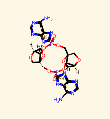 Nc1ncnc2c1ncn2[C@@H]1O[C@@]23CO[C@@H]1[C@@H]2O[P@](=O)(S)OC[C@@]12CO[C@@H]([C@H](n4cnc5c(N)ncnc54)O1)[C@@H]2O[P@](=O)(S)OC3